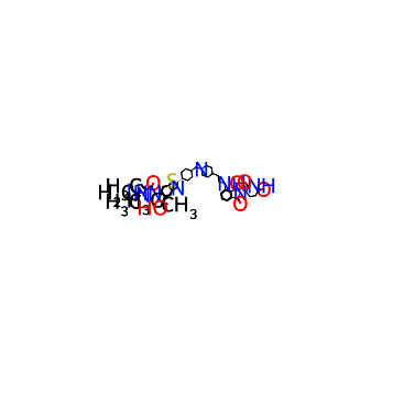 C=N/C(C)=N\C(=C/C)C(=O)Nc1cc2sc([C@H]3CC[C@H](CN4CCC(CCNc5cccc6c5C(=O)N(C5CCC(=O)NC5=O)C6=O)CC4)CC3)nc2cc1C(C)(C)O